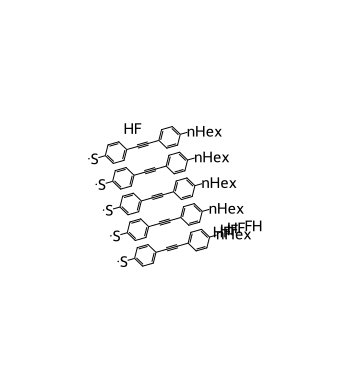 CCCCCCc1ccc(C#Cc2ccc([S])cc2)cc1.CCCCCCc1ccc(C#Cc2ccc([S])cc2)cc1.CCCCCCc1ccc(C#Cc2ccc([S])cc2)cc1.CCCCCCc1ccc(C#Cc2ccc([S])cc2)cc1.CCCCCCc1ccc(C#Cc2ccc([S])cc2)cc1.F.F.F.F.F